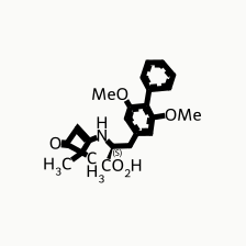 COc1cc(C[C@H](NC2=CC(=O)C2(C)C)C(=O)O)cc(OC)c1-c1ccccc1